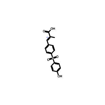 C/C(=C\c1ccc(S(=O)(=O)c2ccc(O)cc2)cc1)C(=O)O